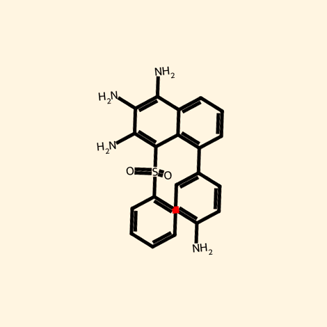 Nc1ccc(-c2cccc3c(N)c(N)c(N)c(S(=O)(=O)c4ccccc4)c23)cc1